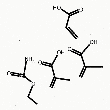 C=C(C)C(=O)O.C=C(C)C(=O)O.C=CC(=O)O.CCOC(N)=O